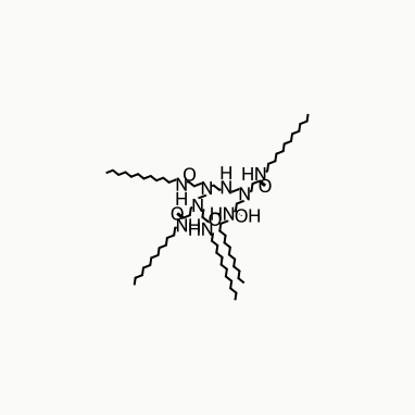 CCCCCCCCCCCCNC(=O)CCN(CCNCCN(CCC(=O)NCCCCCCCCCCCC)CCN(CCC(=O)NCCCCCCCCCCCC)CCC(=O)NCCCCCCCCCCCC)CC[C@H](O)NCCCCCCCCCCCC